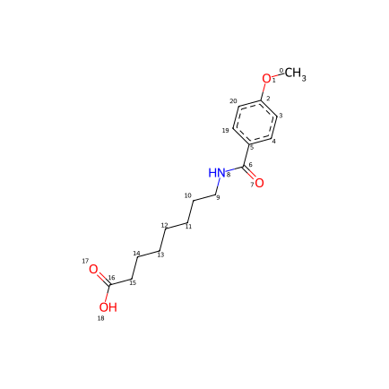 COc1ccc(C(=O)NCCCCCCCC(=O)O)cc1